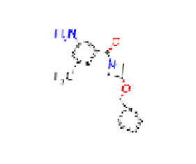 Nc1cc(C(=O)N2CC(OCc3ccccc3)C2)cc(C(F)(F)F)c1